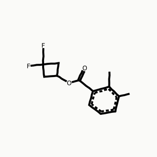 Cc1cccc(C(=O)OC2CC(F)(F)C2)c1C